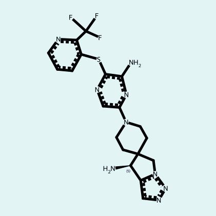 Nc1nc(N2CCC3(CC2)Cn2nncc2[C@H]3N)cnc1Sc1cccnc1C(F)(F)F